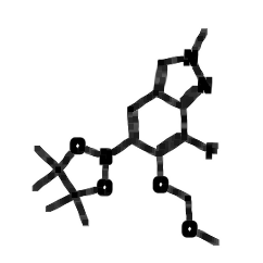 COCOc1c(B2OC(C)(C)C(C)(C)O2)cc2cn(C)nc2c1F